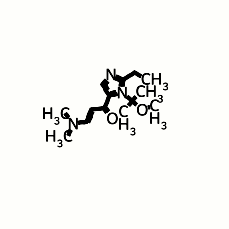 CCc1ncc(C(=O)C=CN(C)C)n1C(C)(C)OC